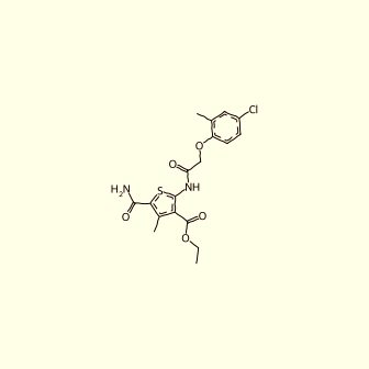 CCOC(=O)c1c(NC(=O)COc2ccc(Cl)cc2C)sc(C(N)=O)c1C